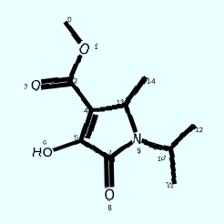 COC(=O)C1=C(O)C(=O)N(C(C)C)C1C